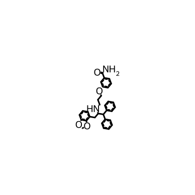 NC(=O)c1cccc(OCCCNC(Cc2cccc3c2OCO3)C(c2ccccc2)c2ccccc2)c1